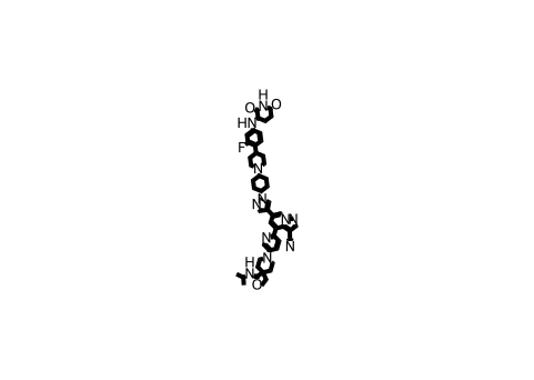 CCC1(C(=O)NC(C)C)CCN(c2ccc(-c3cc(-c4cnn([C@H]5CC[C@H](N6CCC(c7ccc(NC8CCC(=O)NC8=O)cc7F)CC6)CC5)c4)cn4ncc(C#N)c34)nc2)CC1